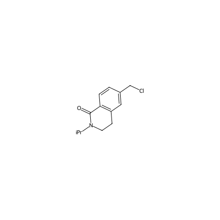 CC(C)N1CCc2cc(CCl)ccc2C1=O